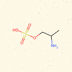 CC(N)COS(=O)(=O)O